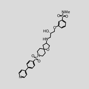 CNS(=O)(=O)c1cccc(OC[C@@H](O)CNC2COC3(CCN(S(=O)(=O)c4ccc(-c5ccncc5)cc4)CC3)C2)c1